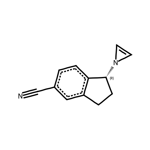 N#Cc1ccc2c(c1)CC[C@H]2N1C=C1